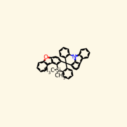 C[Si]1(C)c2ccccc2C2(c3ccccc3-n3c4ccccc4c4cccc2c43)c2ccc3oc4ccccc4c3c21